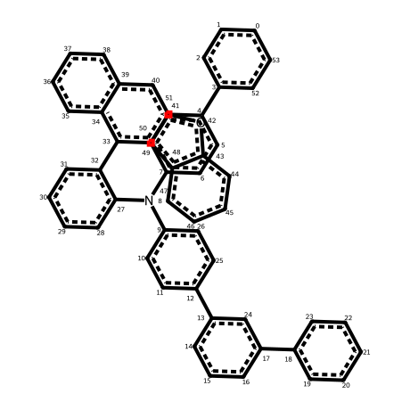 c1ccc(-c2ccc(N(c3ccc(-c4cccc(-c5ccccc5)c4)cc3)c3ccccc3-c3c4ccccc4cc4oc5ccccc5c34)cc2)cc1